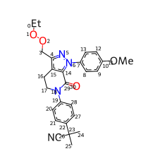 CCOOCc1nn(-c2ccc(OC)cc2)c2c1CCN(c1ccc(C(C)(C)C#N)cc1)C2=O